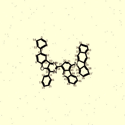 c1ccc(-c2ccc3oc4c(-c5ccccc5)nc(-c5ccc(-n6c7ccccc7c7cc8ccccc8cc76)c6c5sc5ccccc56)nc4c3c2)cc1